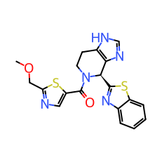 COCc1ncc(C(=O)N2CCc3[nH]cnc3[C@H]2c2nc3ccccc3s2)s1